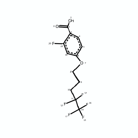 O=C(O)c1ccc(OCCCC(F)(F)C(F)(F)F)cc1F